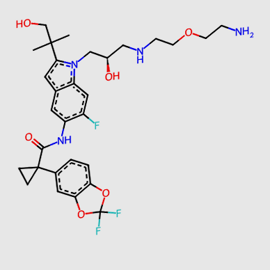 CC(C)(CO)c1cc2cc(NC(=O)C3(c4ccc5c(c4)OC(F)(F)O5)CC3)c(F)cc2n1C[C@H](O)CNCCOCCN